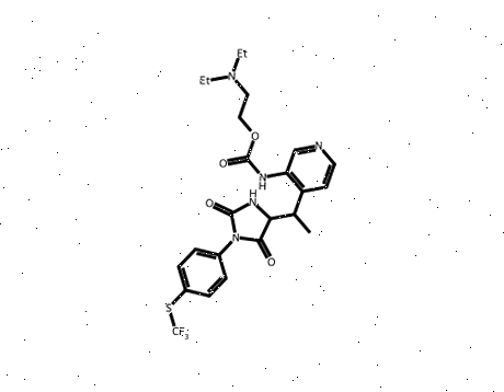 CCN(CC)CCOC(=O)Nc1cnccc1C(C)C1NC(=O)N(c2ccc(SC(F)(F)F)cc2)C1=O